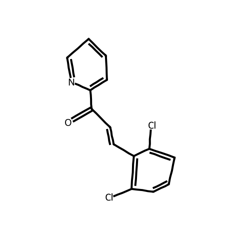 O=C(C=Cc1c(Cl)cccc1Cl)c1ccccn1